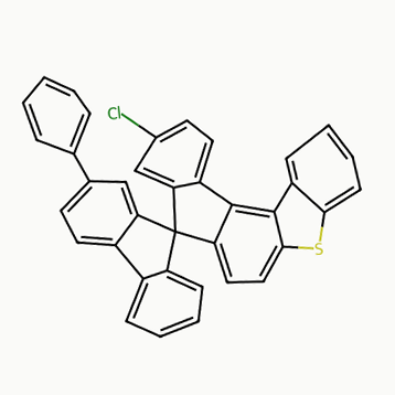 Clc1ccc2c(c1)C1(c3ccccc3-c3ccc(-c4ccccc4)cc31)c1ccc3sc4ccccc4c3c1-2